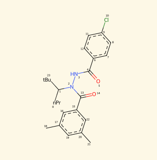 CCCC(N(NC(=O)c1ccc(Cl)cc1)C(=O)c1cc(C)cc(C)c1)C(C)(C)C